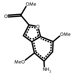 COC(=O)c1cc2c(OC)c(N)cc(OC)c2o1